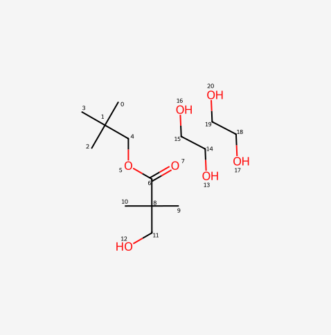 CC(C)(C)COC(=O)C(C)(C)CO.OCCO.OCCO